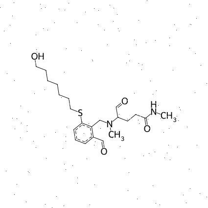 CNC(=O)CCC(C=O)N(C)Cc1c(C=O)cccc1SCCCCCCCO